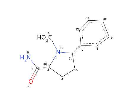 NC(=O)[C@H]1CC[C@@H](c2ccccc2)N1C(=O)O